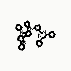 c1ccc(-c2cc(-c3ccccc3)nc(-c3cccc(-n4c5ccccc5c5c4ccc4c6c7oc8ccccc8c7ccc6n(-c6ccccc6)c45)c3)n2)cc1